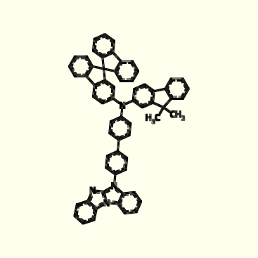 CC1(C)c2ccccc2-c2ccc(N(c3ccc(-c4ccc(-n5c6ccccc6n6c7ccccc7nc56)cc4)cc3)c3ccc4c(c3)C3(c5ccccc5-c5ccccc53)c3ccccc3-4)cc21